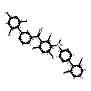 Cc1cc(C)c(-c2cccc(C(=O)c3c(C)cc(C)c(N(C)c4ccc(-c5c(C)cccc5C)cc4)c3C)c2)c(C)c1